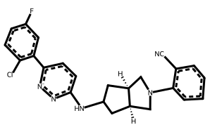 N#Cc1ccccc1N1C[C@H]2CC(Nc3ccc(-c4cc(F)ccc4Cl)nn3)C[C@H]2C1